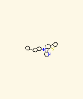 c1ccc(-c2ccc3cc(-n4c5cccnc5c5c6sc7ccccc7c6ccc54)ccc3c2)cc1